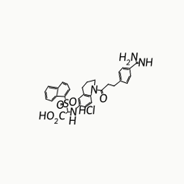 Cl.N=C(N)c1ccc(CCC(=O)N2CCCc3cc(NC(C(=O)O)S(=O)(=O)c4cccc5ccccc45)ccc32)cc1